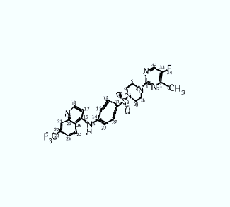 Cc1nc(N2CCN(S(=O)(=O)c3ccc(Nc4ccnc5cc(C(F)(F)F)ccc45)cc3)CC2)ncc1F